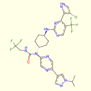 CC(C)n1cc(-c2cnc(N(C(=O)NCC(F)(F)F)[C@H]3CC[C@H](Nc4ncc(C(F)(F)F)c(-c5n[nH]cc5Cl)n4)CC3)cn2)cn1